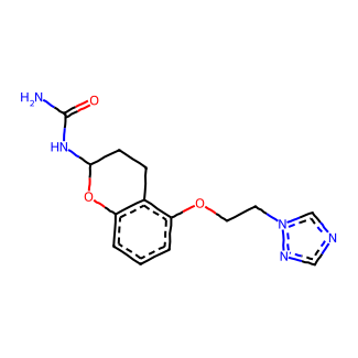 NC(=O)NC1CCc2c(OCCn3cncn3)cccc2O1